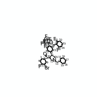 [O-][S+](c1ccc(F)c(Br)c1)C1CN(Cc2ccccc2)C[C@@H]1c1ccc(C(OCc2c(F)cccc2F)(C(F)(F)F)C(F)(F)F)cc1